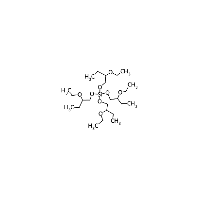 CCOC(CC)CO[Si](OCC(CC)OCC)(OCC(CC)OCC)OCC(CC)OCC